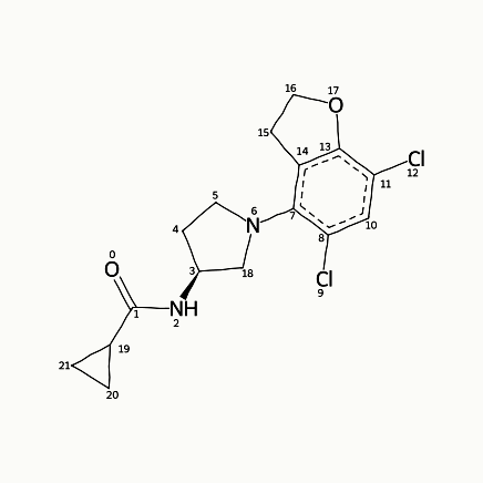 O=C(N[C@H]1CCN(c2c(Cl)cc(Cl)c3c2CCO3)C1)C1CC1